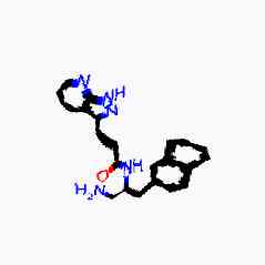 NC[C@H](Cc1ccc2ccccc2c1)NC(=O)C=Cc1n[nH]c2ncccc12